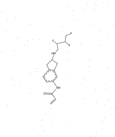 C=CC(=O)Nc1ccc2c(c1)CC(NCC(F)C(F)CF)C2